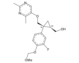 COCOc1ccc([C@]2(COc3cnc(C)nc3C)C[C@H]2CO)cc1F